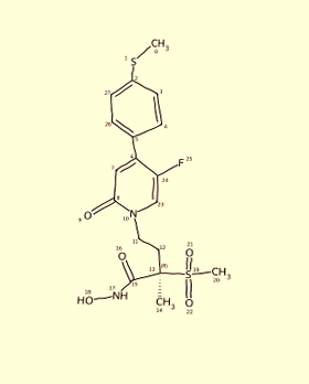 CSc1ccc(-c2cc(=O)n(CC[C@](C)(C(=O)NO)S(C)(=O)=O)cc2F)cc1